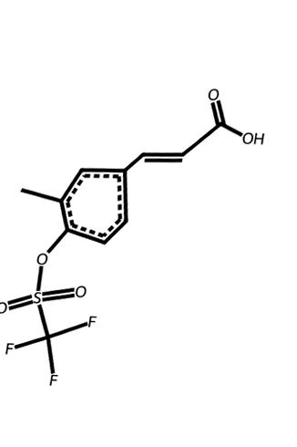 Cc1cc(/C=C/C(=O)O)ccc1OS(=O)(=O)C(F)(F)F